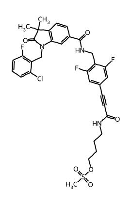 CC1(C)C(=O)N(Cc2c(F)cccc2Cl)c2cc(C(=O)NCc3c(F)cc(C#CC(=O)NCCCCOS(C)(=O)=O)cc3F)ccc21